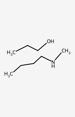 CCCCNC.CCCO